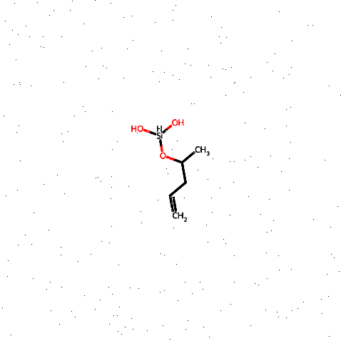 C=CCC(C)O[SiH](O)O